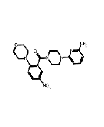 O=C(c1cc([N+](=O)[O-])ccc1N1CCOCC1)N1CCN(c2cccc(C(F)(F)F)n2)CC1